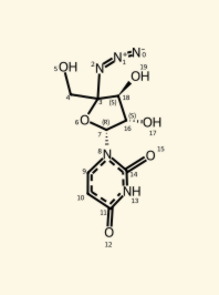 [N-]=[N+]=NC1(CO)O[C@@H](n2ccc(=O)[nH]c2=O)[C@@H](O)[C@@H]1O